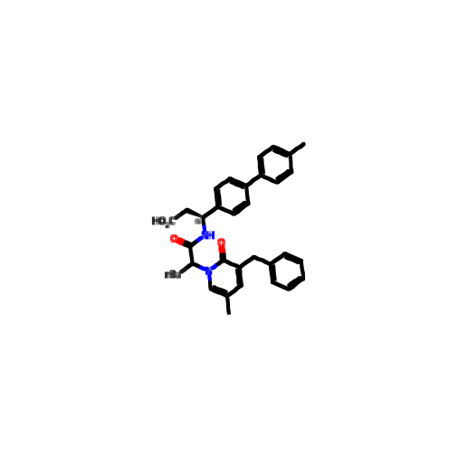 CCCCC(C(=O)N[C@@H](CC(=O)O)c1ccc(-c2ccc(C)cc2)cc1)n1cc(C)cc(Cc2ccccc2)c1=O